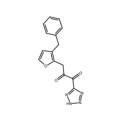 O=C(Cc1occc1Cc1ccccc1)C(=O)c1nn[nH]n1